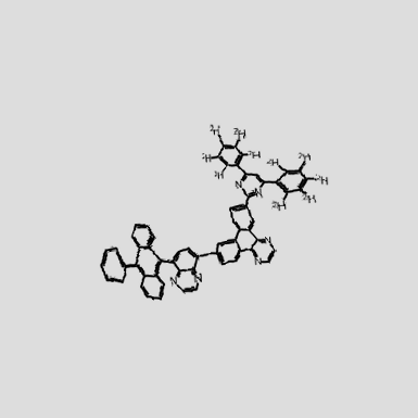 [2H]c1c([2H])c([2H])c(-c2cc(-c3c([2H])c([2H])c([2H])c([2H])c3[2H])nc(-c3ccc4c5cc(-c6ccc(-c7c8ccccc8c(-c8ccccc8)c8ccccc78)c7nccnc67)ccc5c5nccnc5c4c3)n2)c([2H])c1[2H]